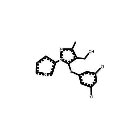 Cc1nn(-c2ccccc2)c(Sc2cc(Cl)cc(Cl)c2)c1CO